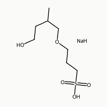 CC(CCO)COCCCS(=O)(=O)O.[NaH]